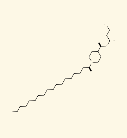 CC(=O)CC[C@@H](NC(=O)C1CCN(C(=O)CCCCCCCCCCCCCCCCC(=O)O)CC1)C(=O)O